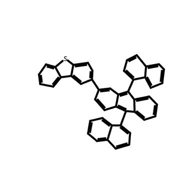 c1ccc2c(-c3c4ccccc4c(-c4cccc5ccccc45)c4cc(-c5ccc6sc7ccccc7c6c5)ccc34)cccc2c1